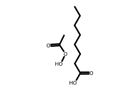 CC(=O)OO.CCCCCCCC(=O)O